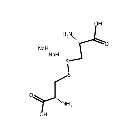 N[C@@H](CSSC[C@H](N)C(=O)O)C(=O)O.[NaH].[NaH]